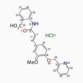 COc1cc(/C=C/C(=O)Nc2ccccc2C(=O)O)ccc1OCc1ccccn1.Cl